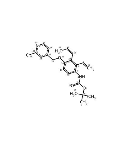 C=Cc1c(NC(=O)OC(C)(C)C)ccc(OCc2ccnc(Cl)c2)c1/C=C\C